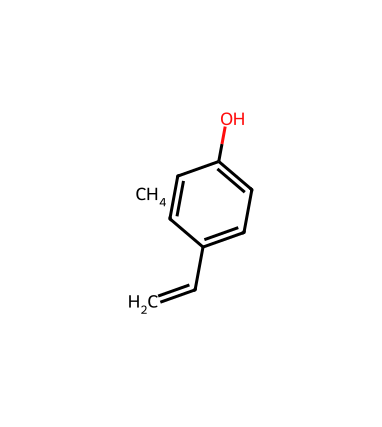 C.C=Cc1ccc(O)cc1